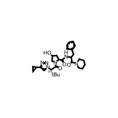 CC(C)(C)[C@@H](C(=O)N1CC(O)CC1C(=O)NC(Cc1ccccc1)C(=O)N1CCCCC1)n1cc(C2CC2)nn1